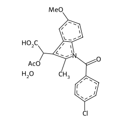 COc1ccc2c(c1)c(C(OC(C)=O)C(=O)O)c(C)n2C(=O)c1ccc(Cl)cc1.O